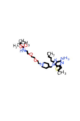 CCCCc1nc2c(N)nc3cc(C)sc3c2n1CC1CCN(CCOCCOCCNC(=O)OC(C)(C)C)CC1